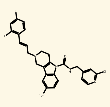 O=C(NCc1ccnc(Cl)c1)n1c2c(c3cc(C(F)(F)F)ccc31)CN(CC=Cc1ccc(F)cc1F)CC2